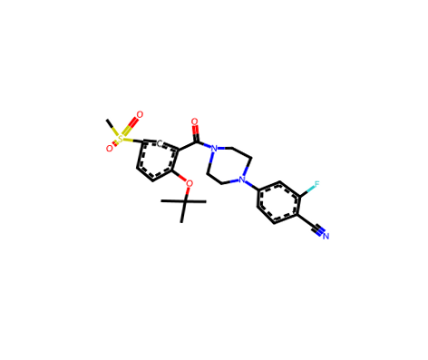 CC(C)(C)Oc1ccc(S(C)(=O)=O)cc1C(=O)N1CCN(c2ccc(C#N)c(F)c2)CC1